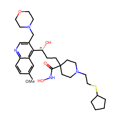 COc1ccc2ncc(CN3CCOCC3)c([C@H](O)CCC3(C(=O)NO)CCN(CCSC4CCCC4)CC3)c2c1